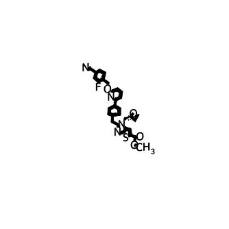 COC(=O)c1cc2c(nc(Cc3ccc(-c4cccc(OCc5ccc(C#N)cc5F)n4)cc3)n2C[C@@H]2CCO2)s1